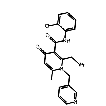 Cc1cc(=O)c(C(=O)Nc2ccccc2Cl)c(CC(C)C)n1Cc1cccnc1